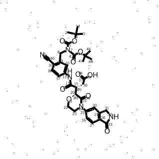 CC(C)(C)OC(=O)N(Cc1cc(NC(=O)[C@H](CC(=O)O)[C@H]2OCCN(c3ccc4c(c3)CNC4=O)C2=O)ccc1C#N)C(=O)OC(C)(C)C